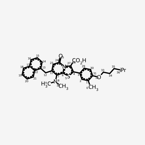 Cc1cc(-c2sc3c(N(C)C)c(Cc4cccc5ccccc45)cc(=O)n3c2C(=O)O)ccc1OCCCC(C)C